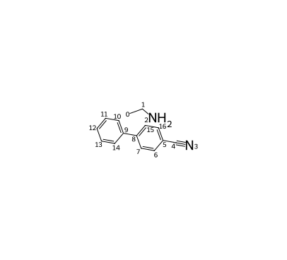 CCN.N#Cc1ccc(-c2ccccc2)cc1